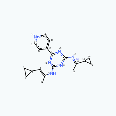 CC(=CC1CC1)Nc1nc(/N=C(\C)C2CC2)nc(-c2ccncc2)n1